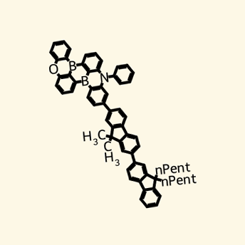 CCCCCC1(CCCCC)c2ccccc2-c2ccc(-c3ccc4c(c3)C(C)(C)c3cc(-c5ccc6c(c5)N(c5ccccc5)c5cccc7c5B6c5cccc6c5B7c5ccccc5O6)ccc3-4)cc21